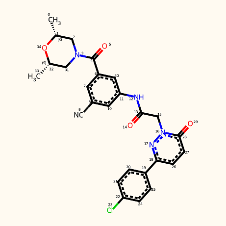 C[C@@H]1CN(C(=O)c2cc(C#N)cc(NC(=O)Cn3nc(-c4ccc(Cl)cc4)ccc3=O)c2)C[C@H](C)O1